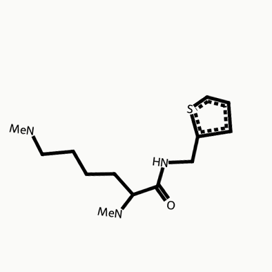 CNCCCCC(NC)C(=O)NCc1cccs1